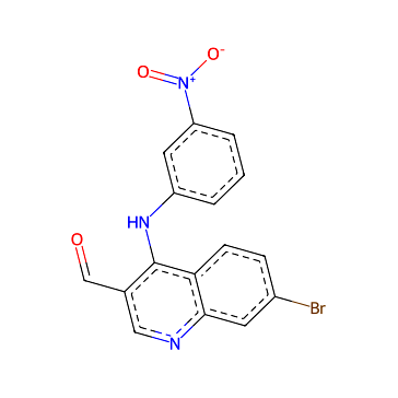 O=Cc1cnc2cc(Br)ccc2c1Nc1cccc([N+](=O)[O-])c1